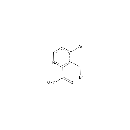 COC(=O)c1nccc(Br)c1CBr